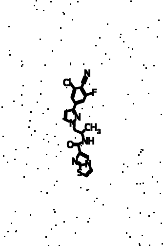 CC(Cn1ccc(-c2cc(F)c(C#N)c(Cl)c2)n1)NC(=O)c1cn2ccsc2n1